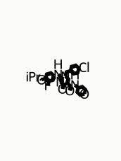 CC(C)Oc1ccc(Nc2nc(=O)c(C(=O)NC3CCOCC3)cn2CC2=CCC(Cl)C=C2)cc1F